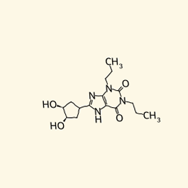 CCCn1c(=O)c2[nH]c(C3C[C@@H](O)[C@@H](O)C3)nc2n(CCC)c1=O